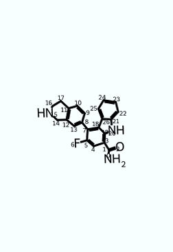 NC(=O)c1cc(F)c(-c2ccc3c(c2)CNCC3)c2c1[nH]c1ccccc12